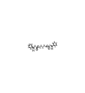 O=C(CNc1ccccc1)OCCCCCOC(=O)CNc1ccccc1